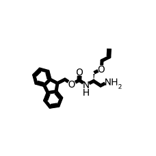 C=CCOC[C@H](CN)NC(=O)OCC1c2ccccc2-c2ccccc21